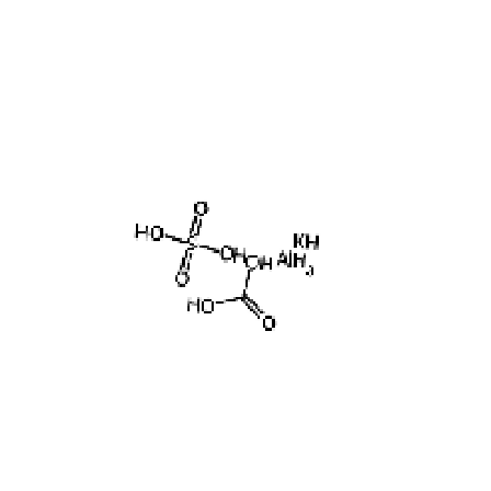 O=C(O)O.O=S(=O)(O)O.[AlH3].[KH]